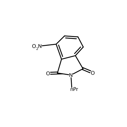 CCCN1C(=O)c2cccc([N+](=O)[O-])c2C1=O